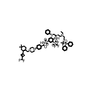 CCN(CCO[Si](c1ccccc1)(c1ccccc1)C(C)(C)C)CC[C@H](CSc1ccccc1)Nc1ccc(S(=O)(=O)NC(=O)c2ccc(N3CCN(CC4=C(C56CC(C(F)F)(C5)C6)CC(C)(C)CC4)CC3)cc2)cc1S(=O)(=O)C(F)(F)F